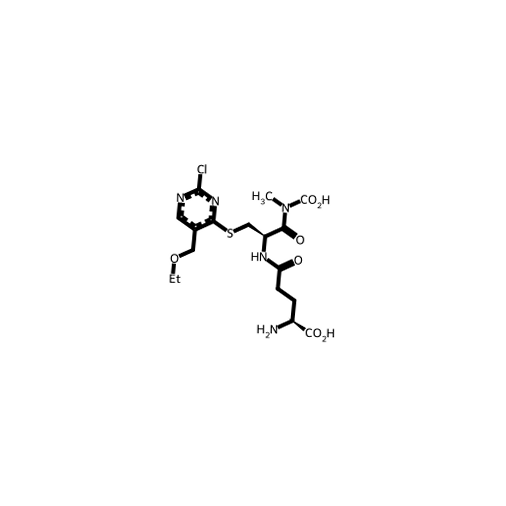 CCOCc1cnc(Cl)nc1SC[C@H](NC(=O)CC[C@H](N)C(=O)O)C(=O)N(C)C(=O)O